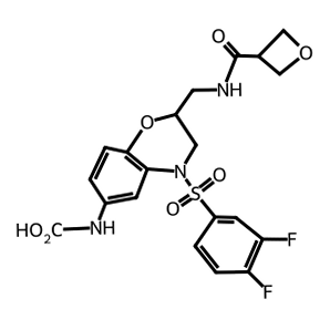 O=C(O)Nc1ccc2c(c1)N(S(=O)(=O)c1ccc(F)c(F)c1)CC(CNC(=O)C1COC1)O2